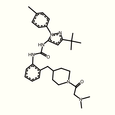 Cc1ccc(-n2nc(C(C)(C)C)cc2NC(=O)Nc2ccccc2CC2CCN(C(=O)CN(C)C)CC2)cc1